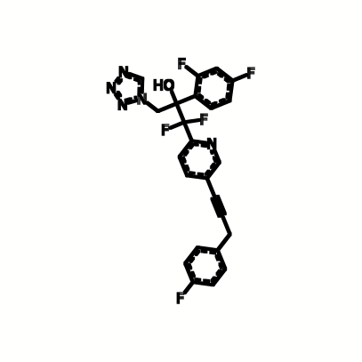 OC(Cn1cnnn1)(c1ccc(F)cc1F)C(F)(F)c1ccc(C#CCc2ccc(F)cc2)cn1